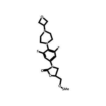 CSOCC1CN(c2cc(F)c(N3CCN(C4COC4)CC3)c(F)c2)C(=O)O1